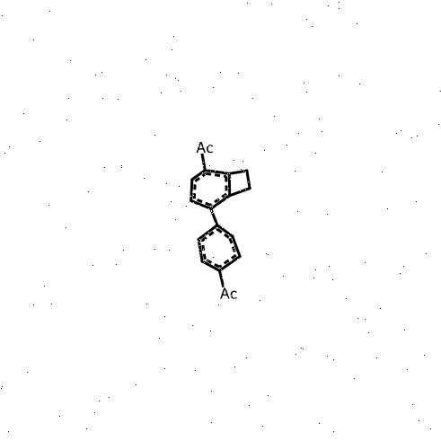 CC(=O)c1ccc(-c2ccc(C(C)=O)c3c2CC3)cc1